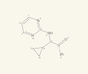 CC(C)C(=O)C(Nc1ncccn1)C1CC1